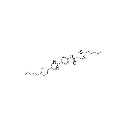 CCCCCC1CCC(c2cnc(-c3ccc(OC(=O)C4CSC(CCCCC)SC4)cc3)nc2)CC1